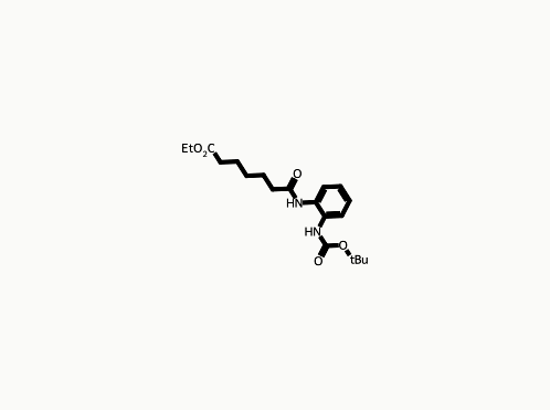 CCOC(=O)CCCCCC(=O)Nc1ccccc1NC(=O)OC(C)(C)C